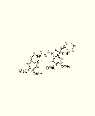 COc1ccc(C(C#N)(CCCCCN2CCc3cc(OC)c(OC)cc3C2)SC2CCCCC2)cc1OC